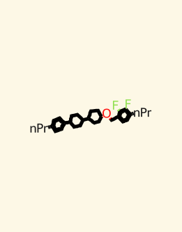 CCCc1ccc(C2CCC(C3CCC(OCc4ccc(CCC)c(F)c4F)CC3)CC2)cc1